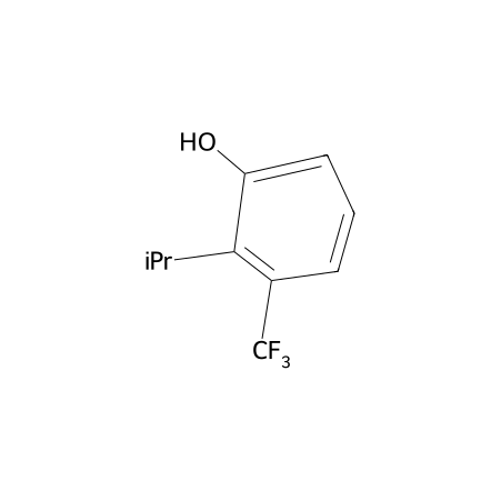 CC(C)c1c(O)cccc1C(F)(F)F